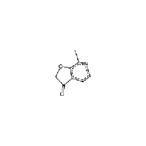 Cc1nccc2c1OCC2=O